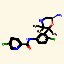 CC1(C)NC[C@H](N)OC1(C)c1cc(NC(=O)c2ccc(Cl)cn2)ccc1F